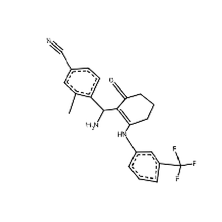 Cc1cc(C#N)ccc1C(N)C1=C(Nc2cccc(C(F)(F)F)c2)CCCC1=O